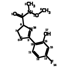 CON(C)C(=O)C1CSC(c2ccc(F)cc2O)=N1